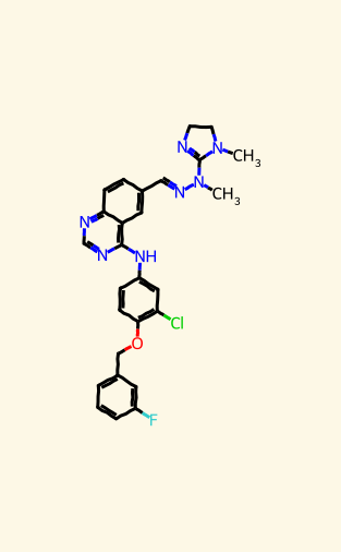 CN1CCN=C1N(C)N=Cc1ccc2ncnc(Nc3ccc(OCc4cccc(F)c4)c(Cl)c3)c2c1